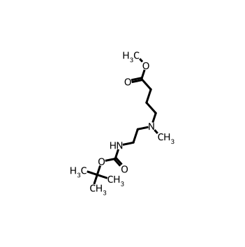 COC(=O)CCCN(C)CCNC(=O)OC(C)(C)C